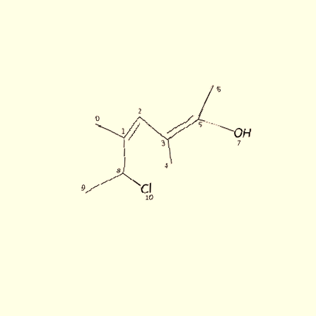 C/C(=C/C(C)=C(\C)O)C(C)Cl